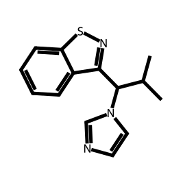 CC(C)C(c1nsc2ccccc12)n1ccnc1